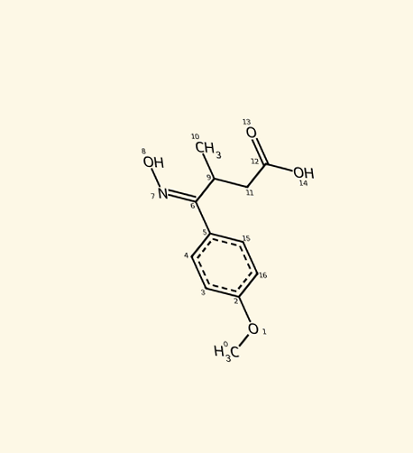 COc1ccc(C(=NO)C(C)CC(=O)O)cc1